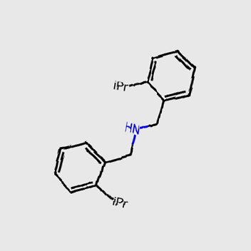 CC(C)c1ccccc1CNCc1ccccc1C(C)C